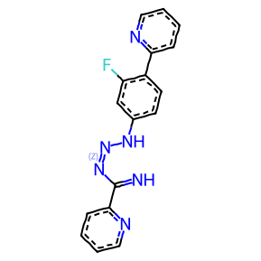 N=C(/N=N\Nc1ccc(-c2ccccn2)c(F)c1)c1ccccn1